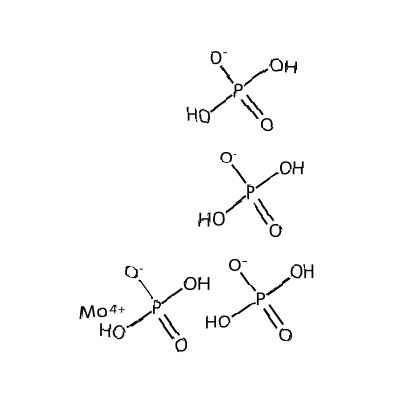 O=P([O-])(O)O.O=P([O-])(O)O.O=P([O-])(O)O.O=P([O-])(O)O.[Mo+4]